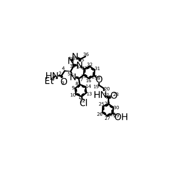 CCNC(=O)C[C@@H]1N=C(c2ccc(Cl)cc2)c2cc(OCCNC(=O)c3cccc(O)c3)ccc2-n2c(C)nnc21